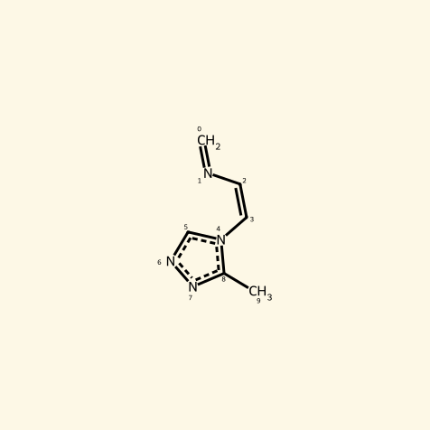 C=N/C=C\n1cnnc1C